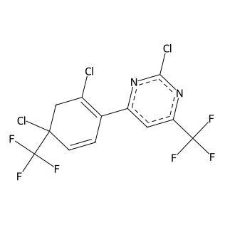 FC(F)(F)c1cc(C2=C(Cl)CC(Cl)(C(F)(F)F)C=C2)nc(Cl)n1